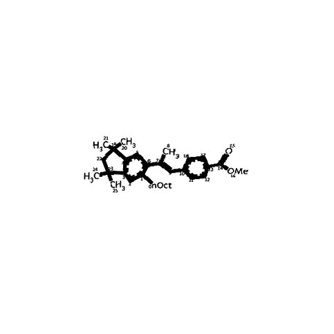 CCCCCCCCc1cc2c(cc1C(C)=Cc1ccc(C(=O)OC)cc1)C(C)(C)CC2(C)C